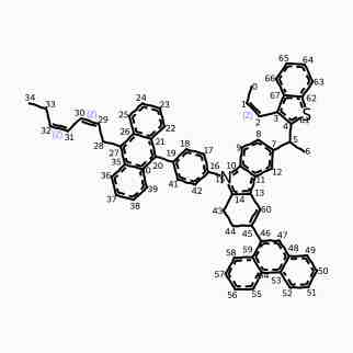 C/C=C\c1c(C(C)c2ccc3c(c2)c2c(n3-c3ccc(-c4c5ccccc5c(C/C=C\C=C/CC)c5ccccc45)cc3)CCC(c3cc4ccccc4c4ccccc34)=C2)sc2ccccc12